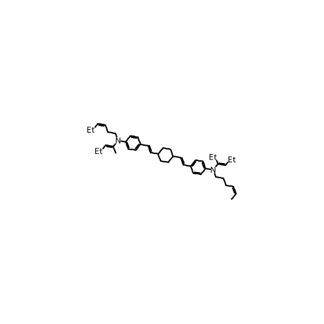 C/C=C\CCCN(/C(=C/CC)CC)c1ccc(/C=C/C2CCC(/C=C/c3ccc(N(CC/C=C\CC)/C(C)=C/CC)cc3)CC2)cc1